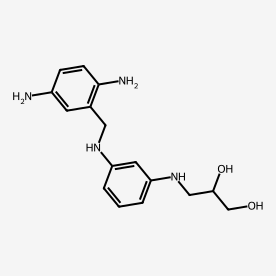 Nc1ccc(N)c(CNc2cccc(NCC(O)CO)c2)c1